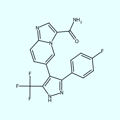 NC(=O)c1cnc2ccc(-c3c(-c4ccc(F)cc4)n[nH]c3C(F)(F)F)cn12